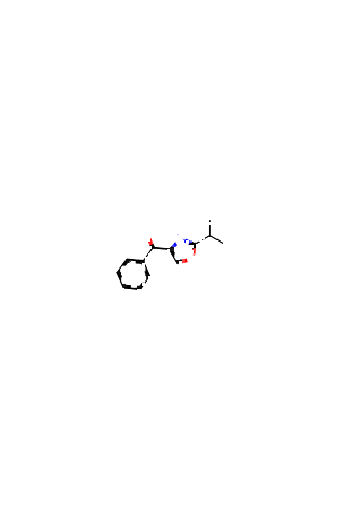 CC(C)c1nc(C(=O)c2ccccc2)co1